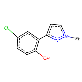 CCn1ccc(-c2cc(Cl)ccc2O)n1